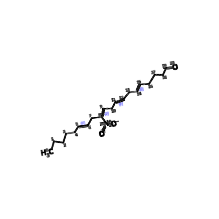 CCCCC/C=C/C/C(=C/C/C=C/C/C=C/CCC[C]=O)[N+](=O)[O-]